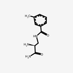 Cc1cccc(C(=O)NC[C@H](N)C(N)=O)c1